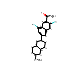 CCCCCC1CCC2CC(c3cc(F)c4cc(C(=O)OC)c(F)cc4c3)CCC2C1